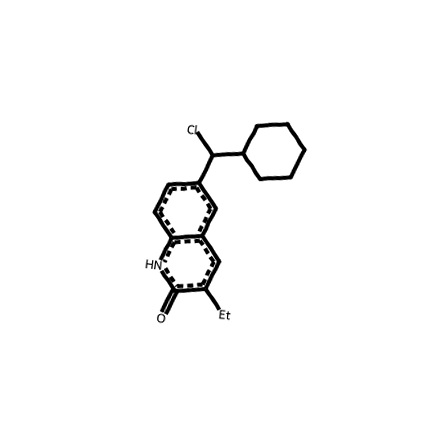 CCc1cc2cc(C(Cl)C3CCCCC3)ccc2[nH]c1=O